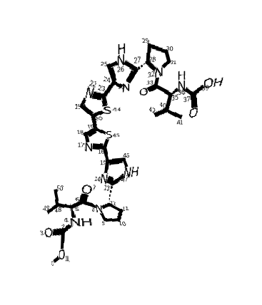 COC(=O)N[C@H](C(=O)N1CCC[C@H]1c1nc(-c2ncc(-c3cnc(-c4c[nH]c([C@@H]5CCCN5C(=O)[C@@H](NC(=O)O)C(C)C)n4)s3)s2)c[nH]1)C(C)C